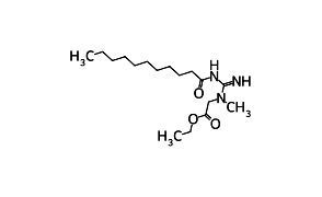 CCCCCCCCCCC(=O)NC(=N)N(C)CC(=O)OCC